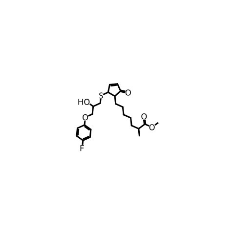 COC(=O)C(C)CCCCCC1C(=O)C=CC1SCC(O)COc1ccc(F)cc1